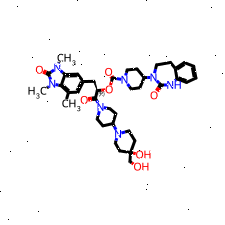 Cc1cc(C[C@@H](OC(=O)N2CCC(N3CCc4ccccc4NC3=O)CC2)C(=O)N2CCC(N3CCC(O)(CO)CC3)CC2)cc2c1n(C)c(=O)n2C